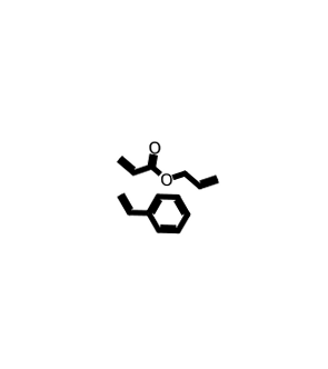 C=CCOC(=O)C=C.C=Cc1ccccc1